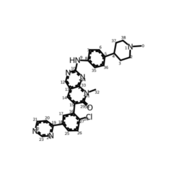 CN1CCC(c2ccc(Nc3ncc4cc(-c5cc(-c6ccncn6)ccc5Cl)c(=O)n(C)c4n3)cc2)CC1